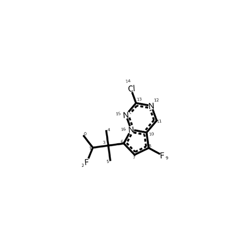 CC(F)C(C)(C)c1cc(F)c2cnc(Cl)nn12